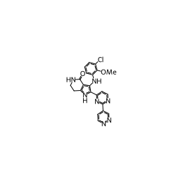 COc1c(Cl)cccc1Nc1c(-c2ccnc(-c3ccnnc3)n2)[nH]c2c1C(=O)NCC2